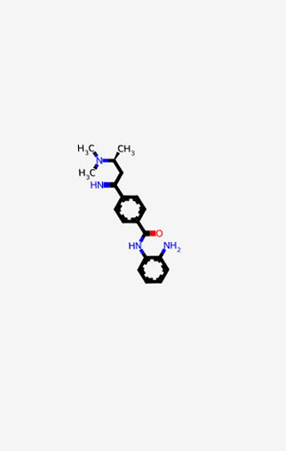 C[C@@H](CC(=N)c1ccc(C(=O)Nc2ccccc2N)cc1)N(C)C